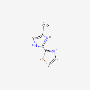 O=Cc1c[nH]c(-c2nccs2)n1